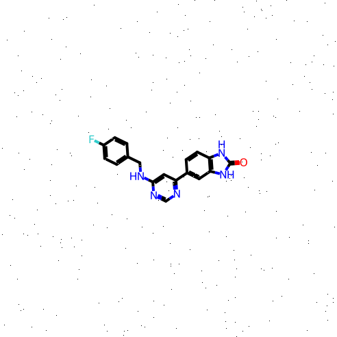 O=c1[nH]c2ccc(-c3cc(NCc4ccc(F)cc4)ncn3)cc2[nH]1